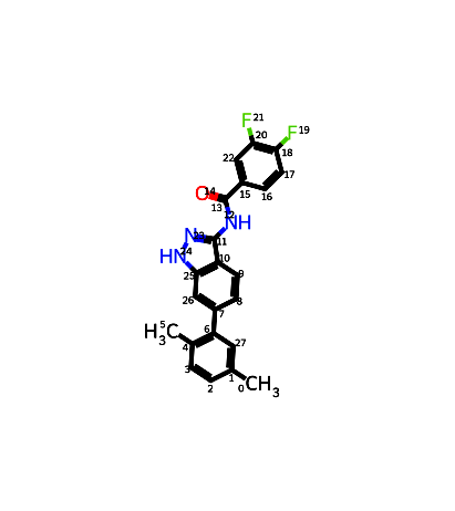 Cc1ccc(C)c(-c2ccc3c(NC(=O)c4ccc(F)c(F)c4)n[nH]c3c2)c1